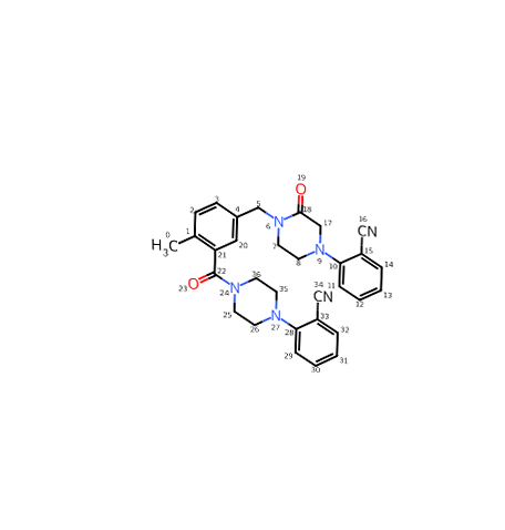 Cc1ccc(CN2CCN(c3ccccc3C#N)CC2=O)cc1C(=O)N1CCN(c2ccccc2C#N)CC1